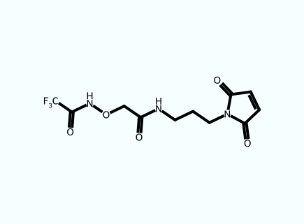 O=C(CONC(=O)C(F)(F)F)NCCCN1C(=O)C=CC1=O